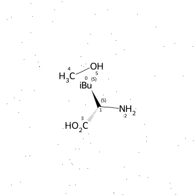 CC[C@H](C)[C@H](N)C(=O)O.CO